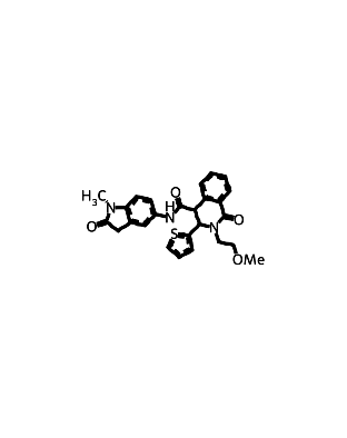 COCCN1C(=O)c2ccccc2C(C(=O)Nc2ccc3c(c2)CC(=O)N3C)C1c1cccs1